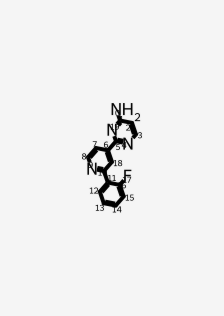 Nc1ccnc(-c2ccnc(-c3ccccc3F)c2)n1